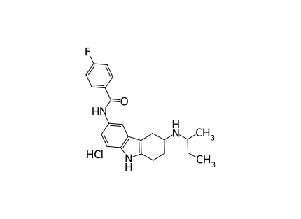 CCC(C)NC1CCc2[nH]c3ccc(NC(=O)c4ccc(F)cc4)cc3c2C1.Cl